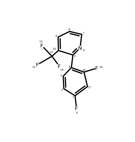 Fc1ccc(-c2ncccc2C(F)(F)F)c(F)c1